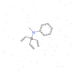 C=C[Si](C=C)(C=C)N(C)c1ccccc1